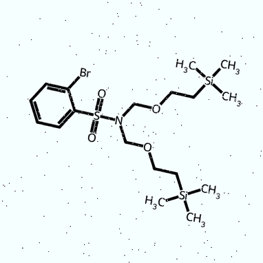 C[Si](C)(C)CCOCN(COCC[Si](C)(C)C)S(=O)(=O)c1ccccc1Br